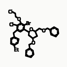 CCc1ccc(Cc2cc(C3CC(OCc4ccccc4)CC(COCc4ccccc4)O3)c(Br)c(OCCCl)c2Cl)cc1